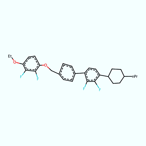 CCCC1CCC(c2ccc(-c3ccc(COc4ccc(OCC)c(F)c4F)cc3)c(F)c2F)CC1